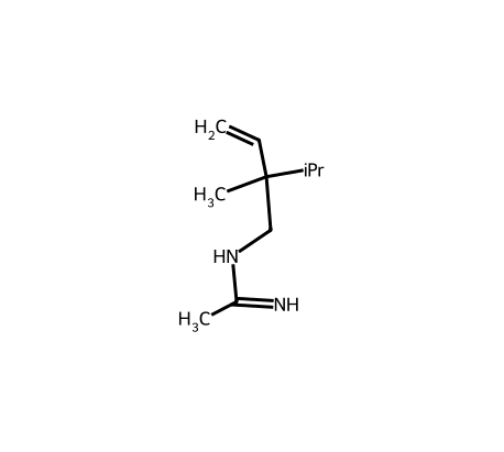 C=CC(C)(CNC(C)=N)C(C)C